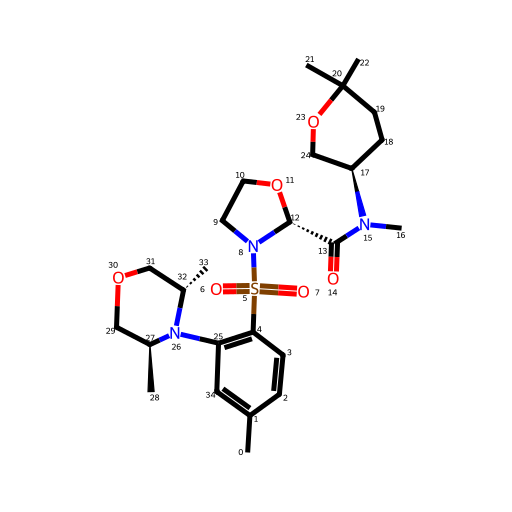 Cc1ccc(S(=O)(=O)N2CCO[C@@H]2C(=O)N(C)[C@@H]2CCC(C)(C)OC2)c(N2[C@@H](C)COC[C@@H]2C)c1